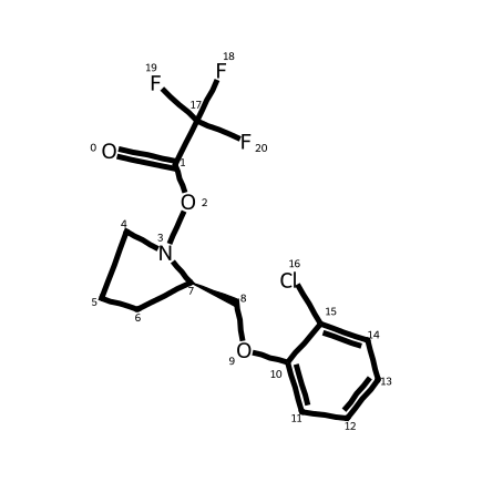 O=C(ON1CCC[C@@H]1COc1ccccc1Cl)C(F)(F)F